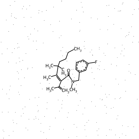 C=C(C)/C(C(=O)N(C)Cc1cccc(F)c1)=C(\C)C(C)(C)CCCC